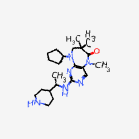 C[C@@H](Nc1ncc2c(n1)N(C1CCCC1)CC(C)(C)C(=O)N2C)C1CCNCC1